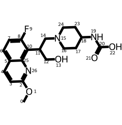 COc1ccc2ccc(F)c(C(CO)CN3CCC(NC(=O)O)CC3)c2n1